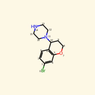 Brc1ccc2c(c1)OCCC2N1CCNCC1